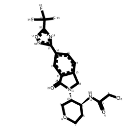 O=C(CCl)N[C@H]1CCOC[C@@H]1N1Cc2ccc(-c3noc(C(F)(F)F)n3)cc2C1=O